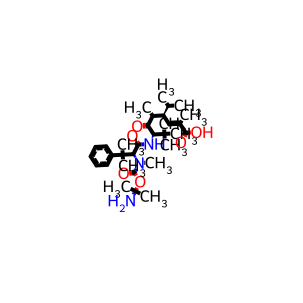 CC(=C[C@H](C(C)C)C(C)C(=O)[C@@H](NC(=O)[C@@H](N(C)C(=O)OC(C)(C)N)C(C)(C)c1ccccc1)C(C)(C)C)C(=O)O